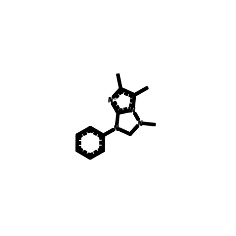 Cc1nc2n(c1C)N(C)CN2c1ccccc1